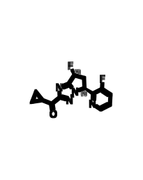 O=C(c1nc2n(n1)[C@H](c1ncccc1F)C[C@@H]2F)C1CC1